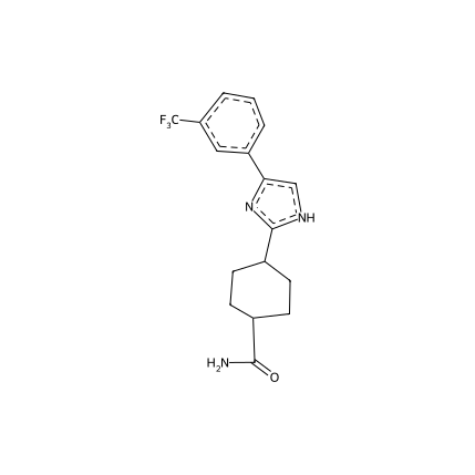 NC(=O)C1CCC(c2nc(-c3cccc(C(F)(F)F)c3)c[nH]2)CC1